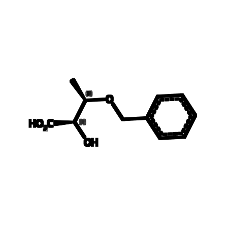 C[C@@H](OCc1ccccc1)[C@@H](O)C(=O)O